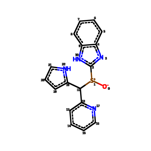 [O-][S+](c1nc2ccccc2[nH]1)C(c1ccccn1)c1ccc[nH]1